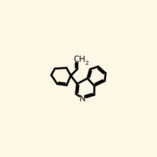 C=CC1(c2cncc3ccccc23)C=CCCC1